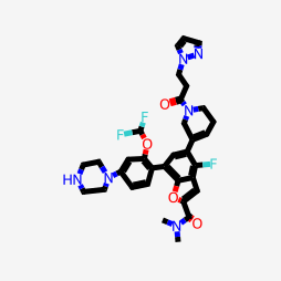 CN(C)C(=O)c1cc2c(F)c(C3=CCCN(C(=O)CCn4cccn4)C3)cc(-c3ccc(N4CCNCC4)cc3OC(F)F)c2o1